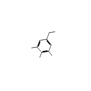 CSCc1cc(F)c(O)c(F)c1